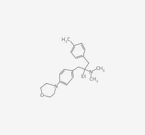 CCC(Cc1ccc(C)cc1)(Cc1ccc(N2CCOCC2)cc1)N(C)C